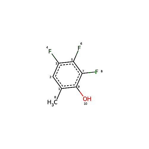 Cc1cc(F)c(F)c(F)c1O